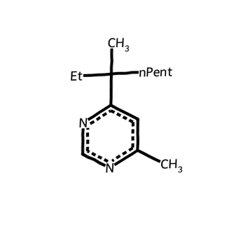 CCCCCC(C)(CC)c1cc(C)ncn1